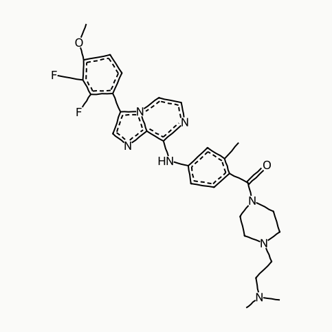 COc1ccc(-c2cnc3c(Nc4ccc(C(=O)N5CCN(CCN(C)C)CC5)c(C)c4)nccn23)c(F)c1F